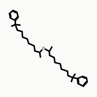 CC(CCCCCCCC(C)(C)c1ccccc1)OC(C)CCCCCCCC(C)(C)c1ccccc1